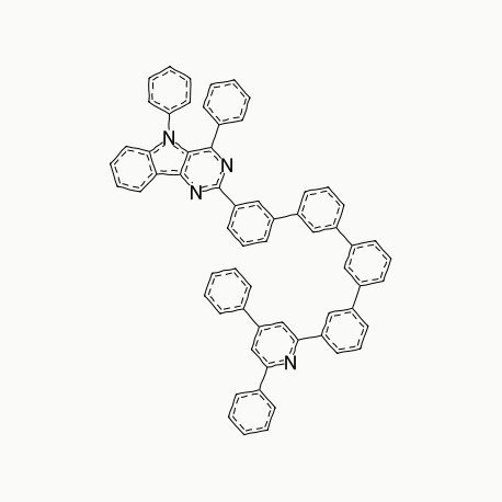 c1ccc(-c2cc(-c3ccccc3)nc(-c3cccc(-c4cccc(-c5cccc(-c6cccc(-c7nc(-c8ccccc8)c8c(n7)c7ccccc7n8-c7ccccc7)c6)c5)c4)c3)c2)cc1